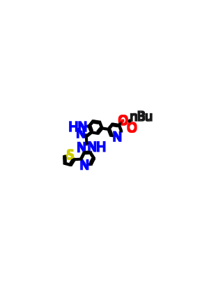 CCCCC(=O)Oc1cncc(-c2ccc3[nH]nc(-c4nc5c(-c6cccs6)nccc5[nH]4)c3c2)c1